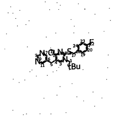 CC(C)(C)Cn1cc(Cc2cncnc2)c(=O)nc1SCc1ccc(F)cc1